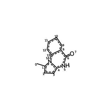 Cc1ccc2[nH]c(=O)c3ccccc3n12